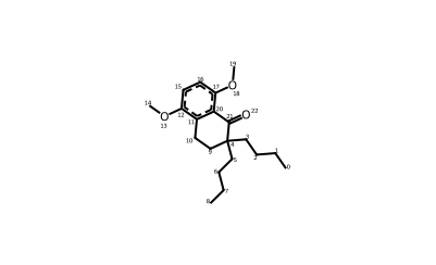 CCCCC1(CCCC)CCc2c(OC)ccc(OC)c2C1=O